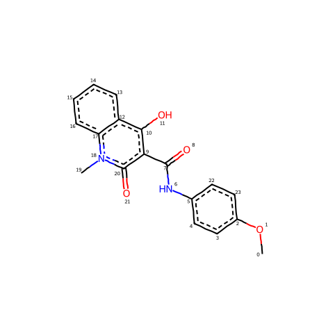 COc1ccc(NC(=O)c2c(O)c3ccccc3n(C)c2=O)cc1